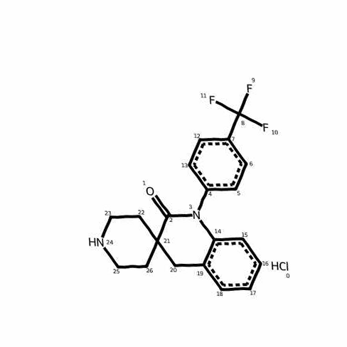 Cl.O=C1N(c2ccc(C(F)(F)F)cc2)c2ccccc2CC12CCNCC2